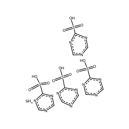 O=S(=O)(O)c1ncncn1.O=S(=O)(O)c1ncncn1.O=S(=O)(O)c1ncncn1.O=S(=O)(O)c1ncncn1.[SiH4]